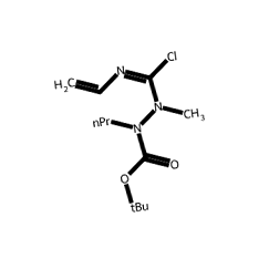 C=C/N=C(/Cl)N(C)N(CCC)C(=O)OC(C)(C)C